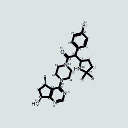 C[C@@H]1C[C@H](O)c2ncnc(N3CCN(C(=O)C(c4ccc(Br)cc4)C4CCC(C)(C)N4)CC3)c21